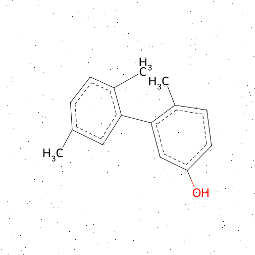 Cc1ccc(C)c(-c2cc(O)ccc2C)c1